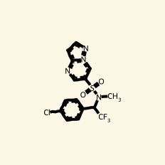 CN(C(c1ccc(Cl)cc1)C(F)(F)F)S(=O)(=O)c1cnc2ccnn2c1